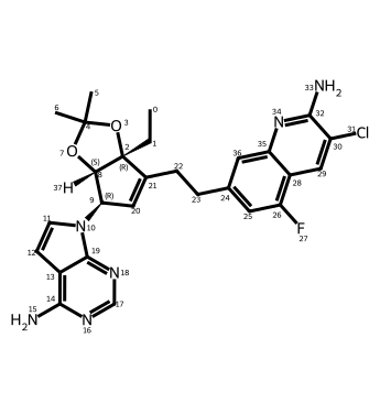 CC[C@]12OC(C)(C)O[C@H]1[C@H](n1ccc3c(N)ncnc31)C=C2CCc1cc(F)c2cc(Cl)c(N)nc2c1